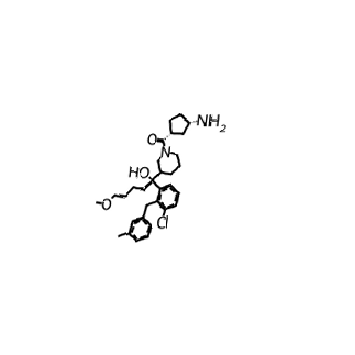 COCCCC[C@@](O)(c1cccc(Cl)c1Cc1cccc(C)c1)C1CCCN(C(=O)[C@@H]2CC[C@H](N)C2)C1